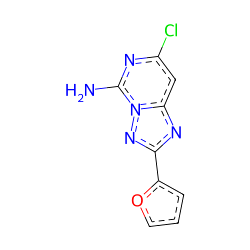 Nc1nc(Cl)cc2nc(-c3ccco3)nn12